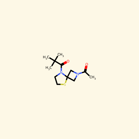 CC(=O)N1CC2(C1)SCCN2C(=O)C(C)(C)C